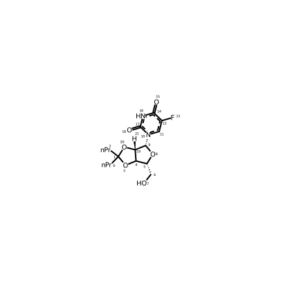 CCCC1(CCC)OC2[C@@H](CO)O[C@@H](n3cc(F)c(=O)[nH]c3=O)[C@H]2O1